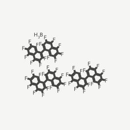 B.Fc1c(F)c(F)c2c(-c3c(F)c(F)c(F)c4c(F)c(F)c(F)c(F)c34)c(F)c(F)c(F)c2c1F.Fc1c(F)c(F)c2c(-c3c(F)c(F)c(F)c4c(F)c(F)c(F)c(F)c34)c(F)c(F)c(F)c2c1F.Fc1c(F)c(F)c2c(-c3c(F)c(F)c(F)c4c(F)c(F)c(F)c(F)c34)c(F)c(F)c(F)c2c1F